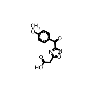 COc1ccc(C(=O)c2noc(CC(=O)O)n2)cc1